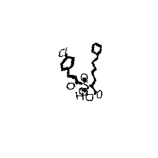 O=C(O)C(CCCCCc1ccccc1)S(=O)(=O)C(=O)C=Cc1ccc(Cl)cc1